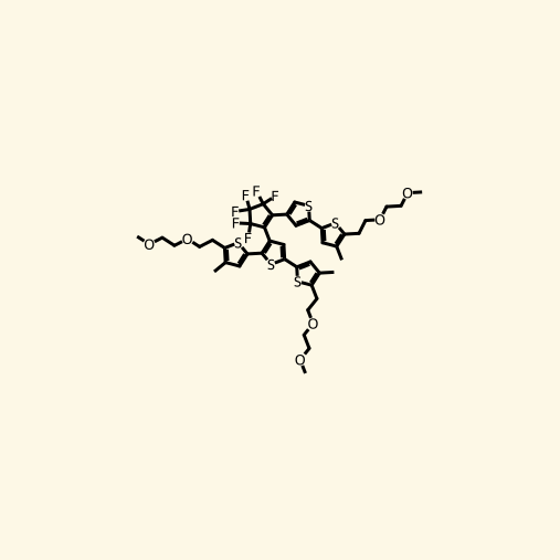 COCCOCCc1sc(-c2cc(C3=C(c4cc(-c5cc(C)c(CCOCCOC)s5)sc4-c4cc(C)c(CCOCCOC)s4)C(F)(F)C(F)(F)C3(F)F)cs2)cc1C